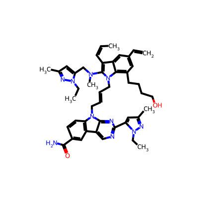 C=Cc1cc(CCCCO)c2c(c1)c(/C=C\C)c(N(C)Cc1cc(C)nn1CC)n2C/C=C/Cn1c2ccc(C(N)=O)cc2c2cnc(-c3cc(C)nn3CC)nc21